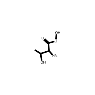 CCCCC(C(=O)OO)C(C)O